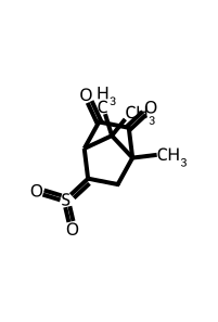 CC12CC(=S(=O)=O)C(C(=O)C1=O)C2(C)C